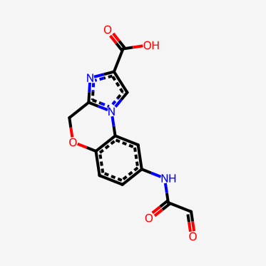 O=CC(=O)Nc1ccc2c(c1)-n1cc(C(=O)O)nc1CO2